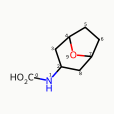 O=C(O)NC1CC2CCC(C1)O2